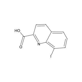 O=C(O)c1ccc2cccc(I)c2n1